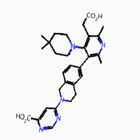 Cc1nc(C)c(-c2ccc3c(c2)CCN(c2cc(C(=O)O)ncn2)C3)c(N2CCC(C)(C)CC2)c1CC(=O)O